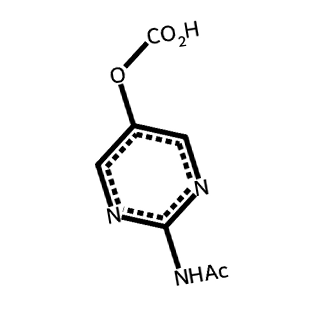 CC(=O)Nc1ncc(OC(=O)O)cn1